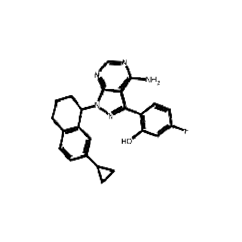 Nc1ncnc2c1c(-c1ccc(F)cc1O)nn2C1CCCc2ccc(C3CC3)cc21